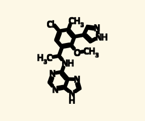 COc1c(C(C)Nc2ncnc3[nH]cnc23)cc(Cl)c(C)c1-c1cn[nH]c1